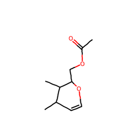 CC(=O)OCC1OC=CC(C)C1C